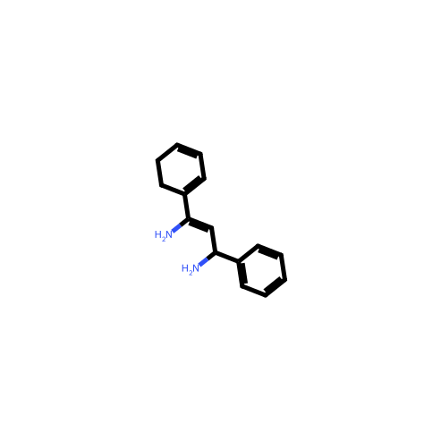 N/C(=C\C(N)c1ccccc1)C1=CC=CCC1